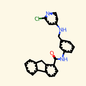 O=C(Nc1cccc(CNc2ccnc(Cl)c2)c1)c1cccc2c1Cc1ccccc1-2